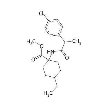 CCC1CCC(NC(=O)C(C)c2ccc(Cl)cc2)(C(=O)OC)CC1